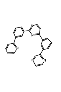 c1cc(-c2cnccn2)cc(-c2ncnc(-c3cccc(-c4cnccn4)c3)n2)c1